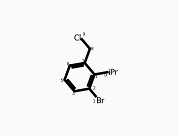 CC(C)c1c(Br)cccc1CCl